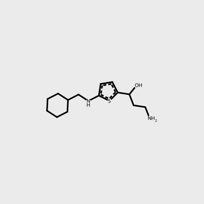 NCCC(O)c1ccc(NCC2CCCCC2)s1